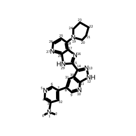 CN(C)c1cncc(-c2cnc3[nH]nc(-c4nc5c(N6CCCCC6)ccnc5[nH]4)c3c2)c1